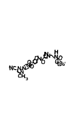 Cc1cc(C#N)nc(N2CCN(S(=O)(=O)c3ccc4c(c3)CCN4C(=O)c3cnn(CCNC(=O)OC(C)(C)C)c3)CC2)n1